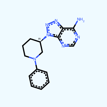 Nc1ncnc2c1nnn2[C@@H]1CCCN(c2ccccc2)C1